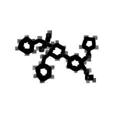 COc1ccc(N2CCN(S(=O)(=O)Cc3ccccc3)[C@H](Cc3ccccc3)C2)cc1OC1CCCC1